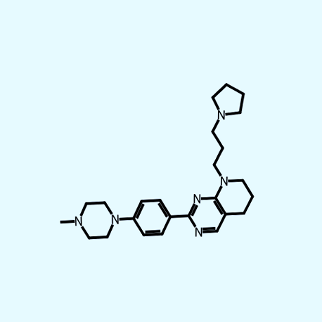 CN1CCN(c2ccc(-c3ncc4c(n3)N(CCCN3CCCC3)CCC4)cc2)CC1